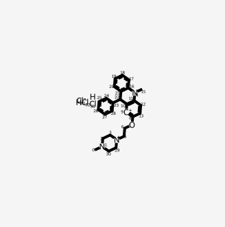 CN1CCN(CCOC2=[C+]C3=C(C=C2)N(C)c2ccccc2C3c2ccccc2)CC1.Cl.Cl.[Cl-]